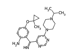 CC(C)N1CCN(c2cc(C(=N)c3cc(OC4(C)CC4)ccc3N)ncn2)CC1